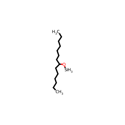 CCCCCCCC(CCCCCC)O[SiH3]